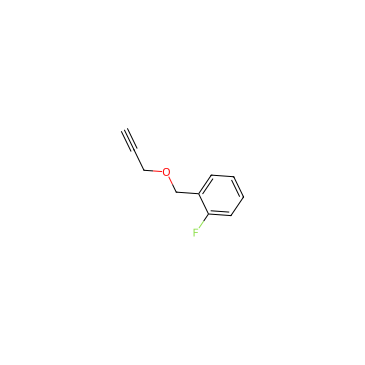 C#CCOCc1ccccc1F